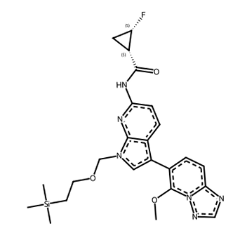 COc1c(-c2cn(COCC[Si](C)(C)C)c3nc(NC(=O)[C@@H]4C[C@@H]4F)ccc23)ccc2ncnn12